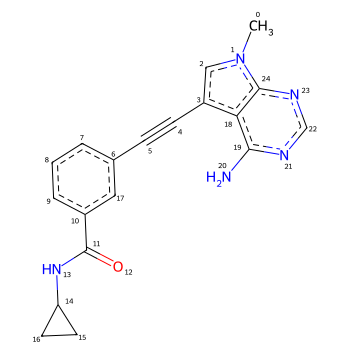 Cn1cc(C#Cc2cccc(C(=O)NC3CC3)c2)c2c(N)ncnc21